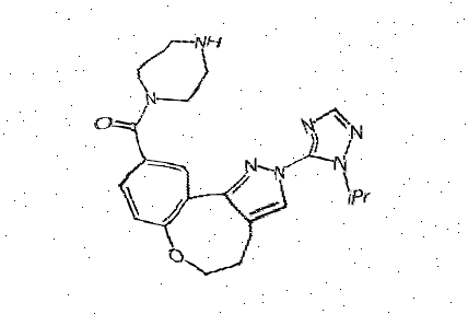 CC(C)n1ncnc1-n1cc2c(n1)-c1cc(C(=O)N3CCNCC3)ccc1OCC2